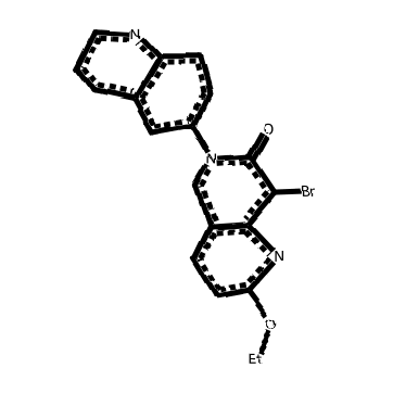 CCOc1ccc2cn(-c3ccc4ncccc4c3)c(=O)c(Br)c2n1